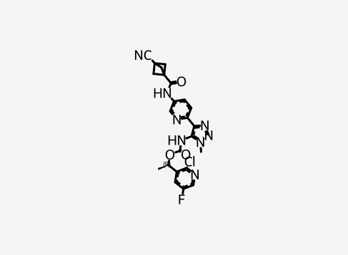 C[C@@H](OC(=O)Nc1c(-c2ccc(NC(=O)C34CC(C#N)(C3)C4)cn2)nnn1C)c1cc(F)cnc1Cl